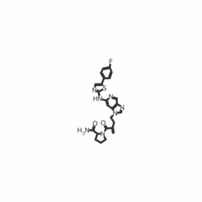 C=C(CCn1cnc2cnc(Nc3ncc(-c4ccc(F)cc4)s3)cc21)C(=O)N1CCCC1C(N)=O